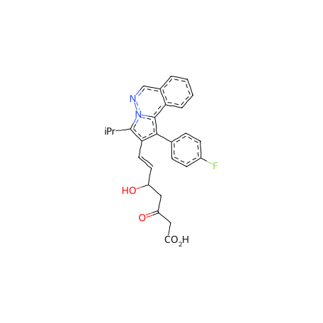 CC(C)c1c(C=CC(O)CC(=O)CC(=O)O)c(-c2ccc(F)cc2)c2c3ccccc3cnn12